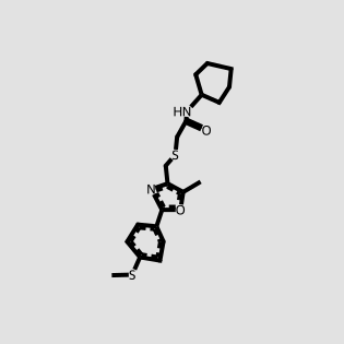 CSc1ccc(-c2nc(CSCC(=O)NC3CCCCC3)c(C)o2)cc1